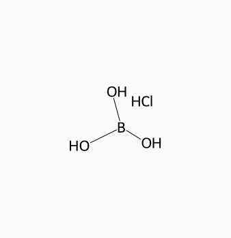 Cl.OB(O)O